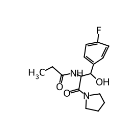 CCC(=O)NC(C(=O)N1CCCC1)C(O)c1ccc(F)cc1